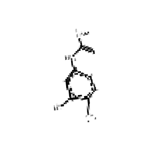 COC(=O)Nc1ccc(C)c(O)c1